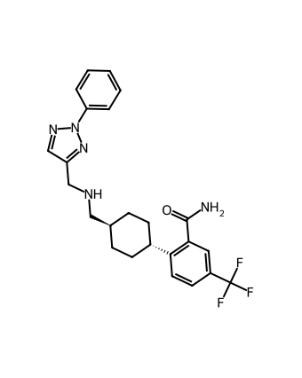 NC(=O)c1cc(C(F)(F)F)ccc1[C@H]1CC[C@H](CNCc2cnn(-c3ccccc3)n2)CC1